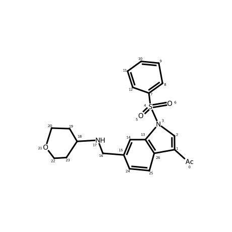 CC(=O)c1cn(S(=O)(=O)c2ccccc2)c2cc(CNC3CCOCC3)ccc12